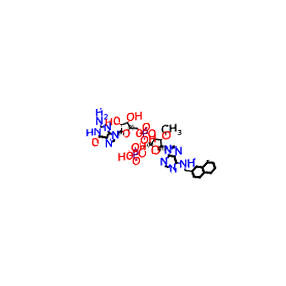 COC1C(OP(=O)(O)OC[C@H]2O[C@@H](n3cnc4c(=O)[nH]c(N)nc43)C(O)C2O)[C@@H](COP(=O)(O)O)O[C@H]1n1cnc2c(NCc3ccc4ccccc4c3)ncnc21